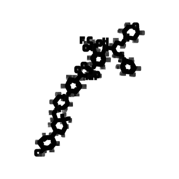 CC1(C)CC=C(c2ccc(Cl)cc2)CC1CN1CCN(c2ccc(C(=O)NS(=O)(=O)c3ccc(NC(CCN4CCOCC4)CSc4ccccc4)c(S(=O)(=O)C(F)(F)F)c3)cc2)CC1